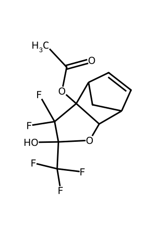 CC(=O)OC12C3C=CC(C3)C1OC(O)(C(F)(F)F)C2(F)F